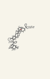 COC(=O)[C@H]1CC[C@H](OC(F)(C(=O)Cc2cc(Cl)c(NC(=O)c3cn(C)c4ccc(F)cc34)cc2F)N2CCCC2)CC1